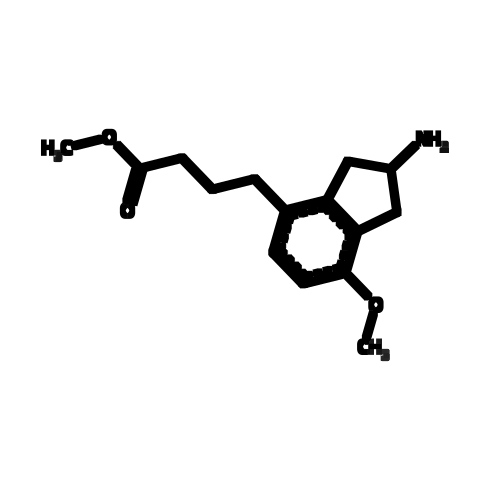 COC(=O)CCCc1ccc(OC)c2c1CC(N)C2